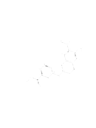 COC(=O)c1cccc(CN2CCc3cc(O)c(OC)cc3C2)c1